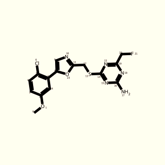 COc1ccc(Cl)c(-c2cnc(CSc3nc(N)nc(CF)n3)o2)c1